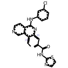 C=C(/C=c1/nc(Nc2cccc(Cl)c2)c2ccncc2/c1=C/C)C(=O)Nc1nccs1